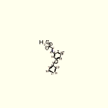 COC(=O)/C=C/c1cc(F)cc(OCc2ccccc2)c1